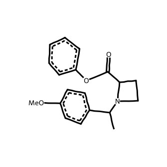 COc1ccc(C(C)N2CCC2C(=O)Oc2ccccc2)cc1